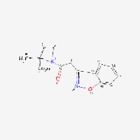 CC1(C(=O)O)CCN1C(=O)Cc1noc2ccccc12